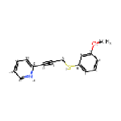 COc1cccc(SCC#Cc2ccccn2)c1